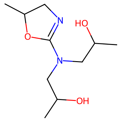 CC(O)CN(CC(C)O)C1=NCC(C)O1